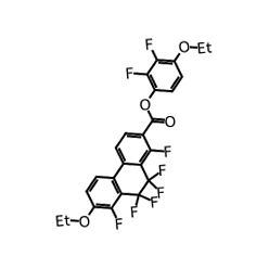 CCOc1ccc(OC(=O)c2ccc3c(c2F)C(F)(F)C(F)(F)c2c-3ccc(OCC)c2F)c(F)c1F